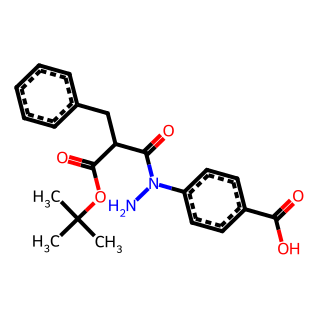 CC(C)(C)OC(=O)C(Cc1ccccc1)C(=O)N(N)c1ccc(C(=O)O)cc1